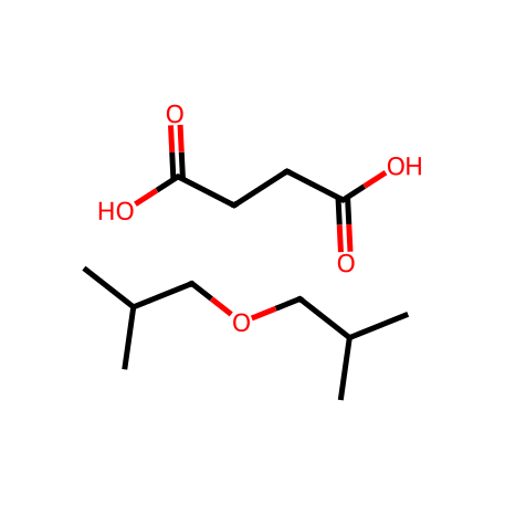 CC(C)COCC(C)C.O=C(O)CCC(=O)O